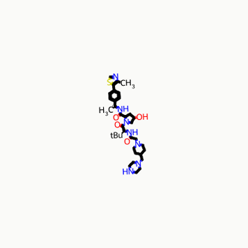 Cc1ncsc1-c1ccc([C@H](C)NC(=O)C2CC(O)CN2C(=O)[C@@H](NC(=O)CN2CCC(CN3CCNCC3)CC2)C(C)(C)C)cc1